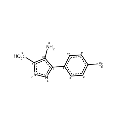 CCc1ccc(-c2nsc(C(=O)O)c2N)cc1